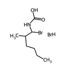 Br.CCCCC(C)C(Br)NC(=O)O